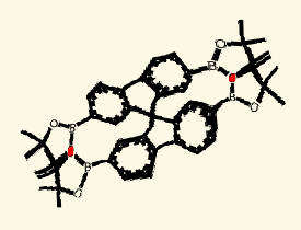 CC1(C)OB(c2ccc3c(c2)C2(c4cc(B5OC(C)(C)C(C)(C)O5)ccc4-3)c3cc(B4OC(C)(C)C(C)(C)O4)ccc3-c3ccc(B4OC(C)(C)C(C)(C)O4)cc32)OC1(C)C